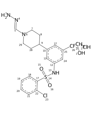 CO.Cl.NN=CN1CCC(c2cc(NS(=O)(=O)c3ccccc3Cl)cc(C(F)(F)F)c2)CC1